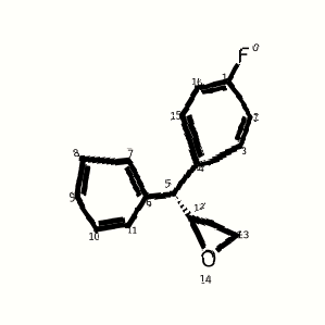 Fc1ccc([C@@H](c2ccccc2)C2CO2)cc1